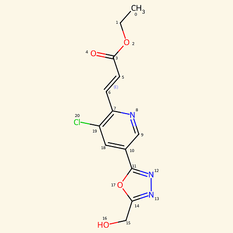 CCOC(=O)/C=C/c1ncc(-c2nnc(CO)o2)cc1Cl